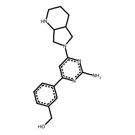 Nc1nc(-c2cccc(CO)c2)cc(N2CC3CCCNC3C2)n1